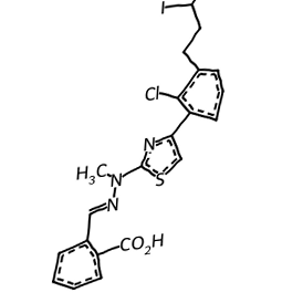 CC(I)CCc1cccc(-c2csc(N(C)/N=C/c3ccccc3C(=O)O)n2)c1Cl